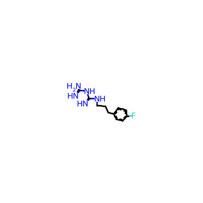 N=C(N)NC(=N)NCCCc1ccc(F)cc1